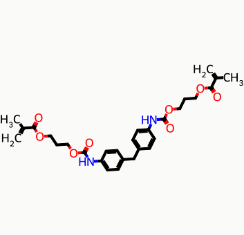 C=C(C)C(=O)OCCCOC(=O)Nc1ccc(Cc2ccc(NC(=O)OCCCOC(=O)C(=C)C)cc2)cc1